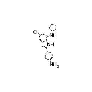 Nc1ccc(-c2cc3cc(Cl)cc(NC4CCCC4)c3[nH]2)cc1